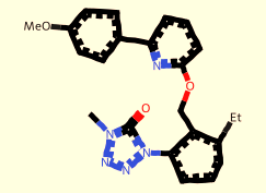 CCc1cccc(-n2nnn(C)c2=O)c1COc1cccc(-c2ccc(OC)cc2)n1